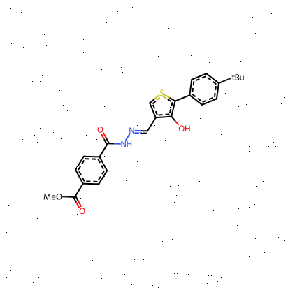 COC(=O)c1ccc(C(=O)NN=Cc2csc(-c3ccc(C(C)(C)C)cc3)c2O)cc1